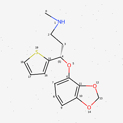 CNCC[C@H](Oc1cccc2c1OCO2)c1cccs1